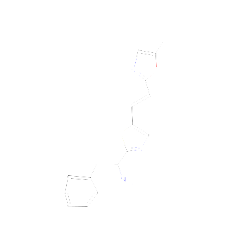 CC(C)(C)c1cnc(C=Cc2cnc(C(N)Cc3ccccc3)s2)o1